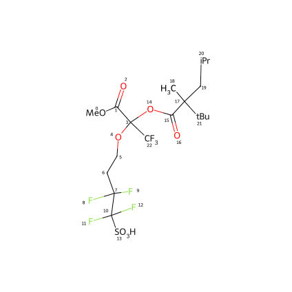 COC(=O)C(OCCC(F)(F)C(F)(F)S(=O)(=O)O)(OC(=O)C(C)(CC(C)C)C(C)(C)C)C(F)(F)F